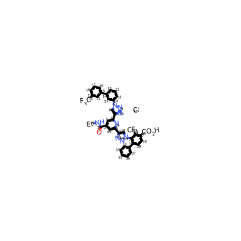 CCNC(=O)c1cc(-c2cn(-c3cccc(-c4cccc(C(F)(F)F)c4)c3)nn2)nc(-c2cn(-c3c(-c4ccccc4)ccc(C(=O)O)c3C(F)(F)F)nn2)c1.[C]